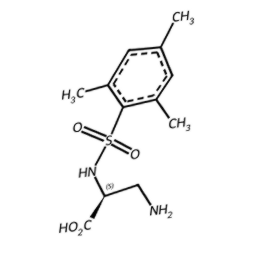 Cc1cc(C)c(S(=O)(=O)N[C@@H](CN)C(=O)O)c(C)c1